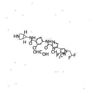 Cn1c(-c2cn(CC(F)F)nc2C(F)(F)F)cnc1C(=O)Nc1ccc(C(=O)NC2[C@H]3CNC[C@@H]23)c(Cl)c1.O=CO